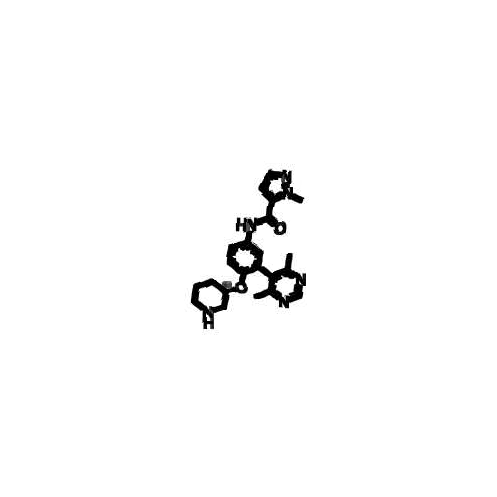 Cc1ncnc(C)c1-c1cc(NC(=O)c2ccnn2C)ccc1O[C@@H]1CCCNC1